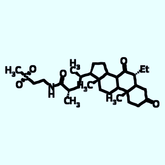 CC[C@H]1C(=O)C2C(CC[C@@]3(C)C2CC[C@@H]3[C@H](C)C[C@H](C)C(=O)NCCS(C)(=O)=O)[C@@]2(C)CCC(=O)CC12